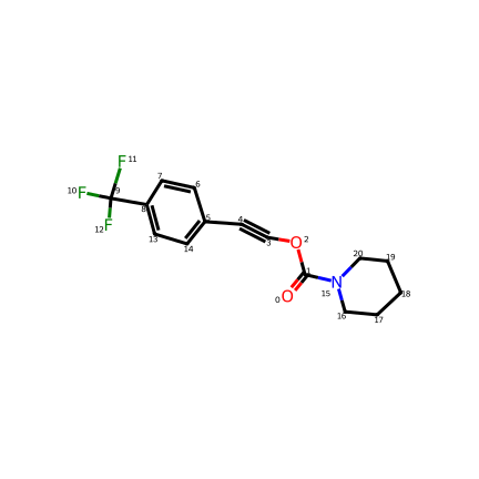 O=C(OC#Cc1ccc(C(F)(F)F)cc1)N1CCCCC1